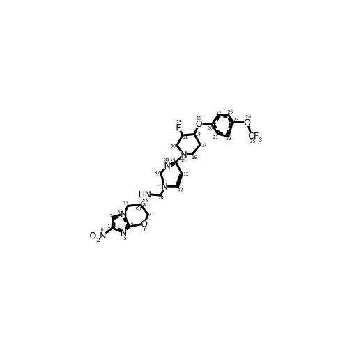 O=[N+]([O-])c1cn2c(n1)OC[C@@H](NCN1C=CC(N3CCC(Oc4ccc(OC(F)(F)F)cc4)C(F)C3)=NC1)C2